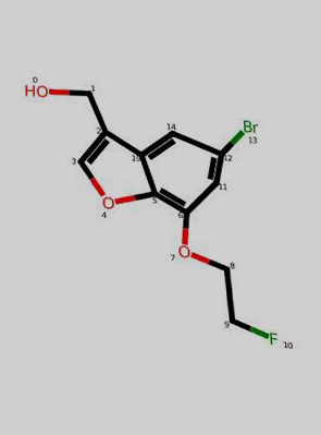 OCc1coc2c(OCCF)cc(Br)cc12